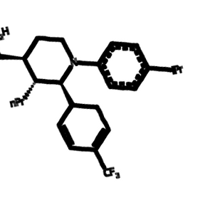 CCC[C@@H]1[C@@H](CC(=O)O)CCN(c2ccc(C(C)C)cc2)[C@H]1C1C=CC(C(F)(F)F)=CC1